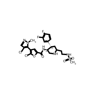 Cn1ncc(Cl)c1-c1cc(C(=O)N[C@@H]2CNC(CCNS(C)(=O)=O)C[C@H]2c2ccc(F)c(F)c2)oc1Cl